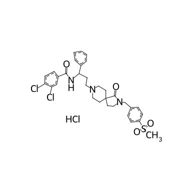 CS(=O)(=O)c1ccc(CN2CCC3(CCN(CCC(NC(=O)c4ccc(Cl)c(Cl)c4)c4ccccc4)CC3)C2=O)cc1.Cl